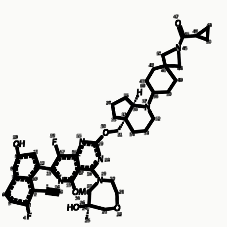 C#Cc1c(F)ccc2cc(O)cc(-c3nc(OC)c4c(N5CCOC[C@@](C)(O)C5)nc(OC[C@]56CCC[C@H]5N(C5CCC7(CC5)CN(C(=O)C5CC5)C7)CCC6)nc4c3F)c12